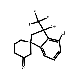 O=C1CCC[C@@]2(C1)CC(O)(C(F)(F)F)c1c(Cl)cccc12